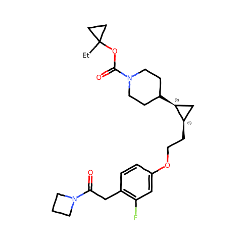 CCC1(OC(=O)N2CCC([C@H]3C[C@H]3CCOc3ccc(CC(=O)N4CCC4)c(F)c3)CC2)CC1